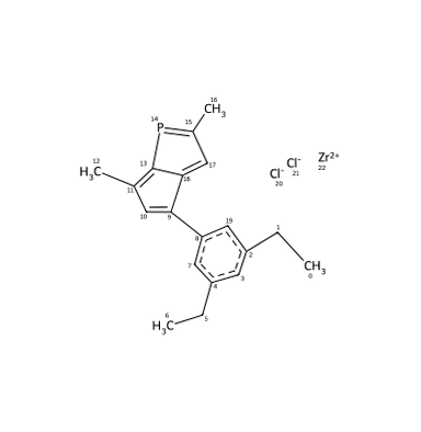 CCc1cc(CC)cc(C2=CC(C)=C3P=C(C)C=C23)c1.[Cl-].[Cl-].[Zr+2]